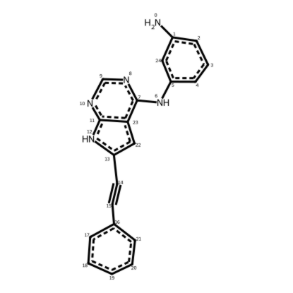 Nc1cccc(Nc2ncnc3[nH]c(C#Cc4ccccc4)cc23)c1